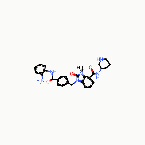 Cn1c(=O)n(Cc2ccc(C(=O)Nc3ccccc3N)cc2)c2cccc(C(=O)N[C@@H]3CCCNC3)c21